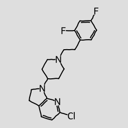 Fc1ccc(CCN2CCC(N3CCc4ccc(Cl)nc43)CC2)c(F)c1